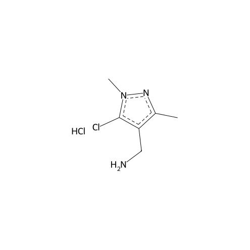 Cc1nn(C)c(Cl)c1CN.Cl